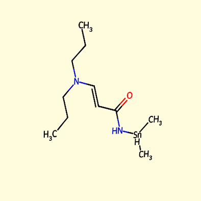 CCCN(C=CC(=O)[NH][SnH]([CH3])[CH3])CCC